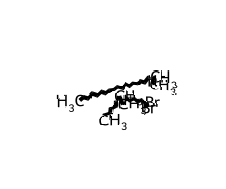 CCCCCCCCCCCCCCCCCCN(C)C.CCCCCC[N+](C)(C)CCCCCC(Br)Br